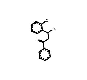 N#CC(CC(=O)c1ccccc1)c1ccccc1Cl